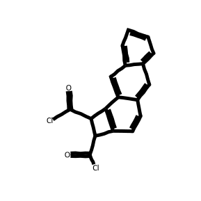 O=C(Cl)C1c2ccc3cc4ccccc4cc3c2C1C(=O)Cl